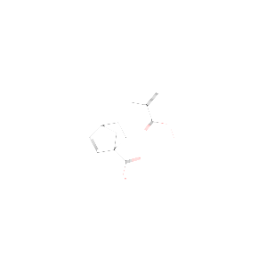 C=C(C)C(=O)OO.O=C(O)C12C=CC(CC1)C2